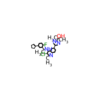 Cc1nc2ccc(-c3cnc(C(C)(C)O)nc3)cc2c(NC(C)c2cc(C3=CCCC3)ccc2F)c1Cl